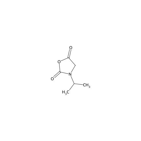 CC(C)N1CC(=O)OC1=O